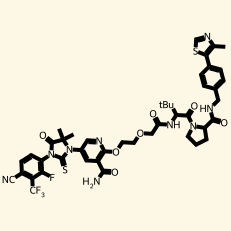 Cc1ncsc1-c1ccc(CNC(=O)C2CCCN2C(=O)C(NC(=O)COCCOc2ncc(N3C(=S)N(c4ccc(C#N)c(C(F)(F)F)c4F)C(=O)C3(C)C)cc2C(N)=O)C(C)(C)C)cc1